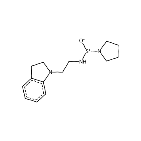 [O-][S+](NCCN1CCc2ccccc21)N1CCCC1